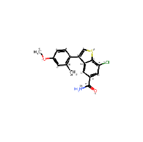 COc1ccc(-c2csc3c(Cl)cc(C(N)=O)cc23)c(C)c1